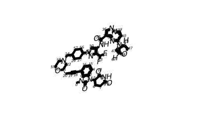 Cn1c(=O)n(C2CCC(=O)NC2=O)c2cccc(C#CC[C@H]3CN(CC4CCC(n5cc(NC(=O)c6cnn7ccc(N8C[C@H]9C[C@@H]8CO9)nc67)c(C(F)F)n5)CC4)CCO3)c21